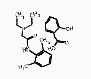 CCN(CC)CC(=O)Nc1c(C)cccc1C.O=C(O)c1ccccc1O